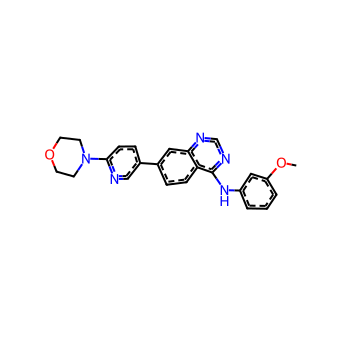 COc1cccc(Nc2ncnc3cc(-c4ccc(N5CCOCC5)nc4)ccc23)c1